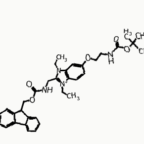 CCn1c(CNC(=O)OCC2c3ccccc3-c3ccccc32)[n+](CC)c2ccc(OCCNC(=O)OC(C)(C)C)cc21